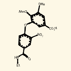 CCNC(=O)c1ccc(Oc2cc(C(=O)O)cc(OC)c2OC)c([N+](=O)[O-])c1